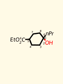 CCCC1(O)CCC(C(=O)OCC)CC1